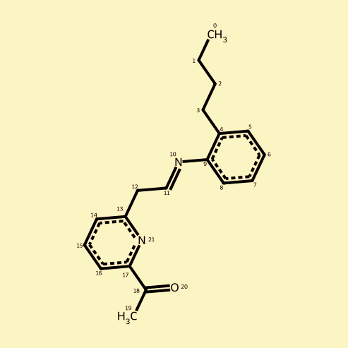 CCCCc1ccccc1N=CCc1cccc(C(C)=O)n1